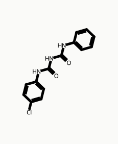 O=C(NC(=O)Nc1ccc(Cl)cc1)Nc1ccccc1